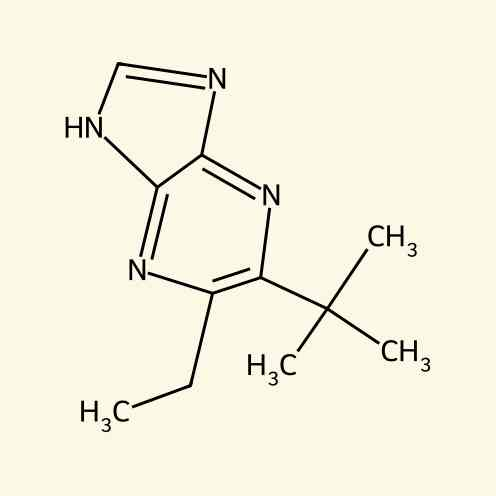 CCc1nc2[nH]cnc2nc1C(C)(C)C